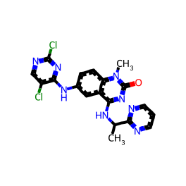 CC(Nc1nc(=O)n(C)c2ccc(Nc3nc(Cl)ncc3Cl)cc12)c1ncccn1